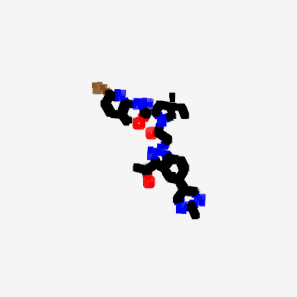 CC[C@]1(C)C[C@@H](C(=O)Nc2nc(Br)ccc2C)N(C(=O)Cn2nc(C(C)=O)c3cc(-c4cnc(C)nc4)ccc32)C1